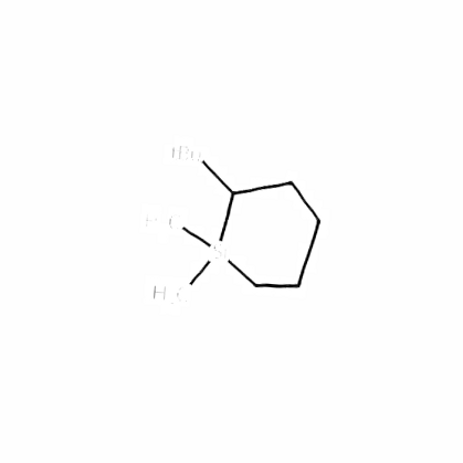 CC(C)(C)C1CCCC[Si]1(C)C